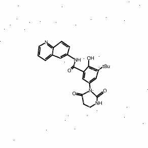 CC(C)(C)c1cc(N2C(=O)CCNC2=O)cc(C(=O)Nc2ccc3ncccc3c2)c1O